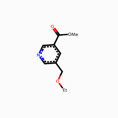 CCOCc1cncc(C(=O)OC)c1